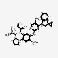 C=CC(=O)Nc1cc(Nc2ncc(C(=O)O)c(N3CC4(CC4)c4ncccc43)n2)c(OC)cc1N1CCC[C@@H]1CN(C)C